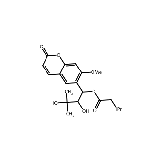 COc1cc2oc(=O)ccc2cc1C(OC(=O)CC(C)C)C(O)C(C)(C)O